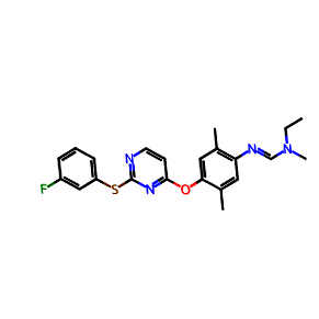 CCN(C)C=Nc1cc(C)c(Oc2ccnc(Sc3cccc(F)c3)n2)cc1C